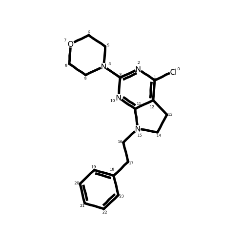 Clc1nc(N2CCOCC2)nc2c1CCN2CCc1ccccc1